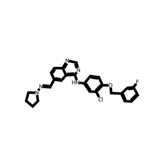 Fc1cccc(COc2ccc(Nc3ncnc4ccc(C=NN5CCCC5)cc34)cc2Cl)c1